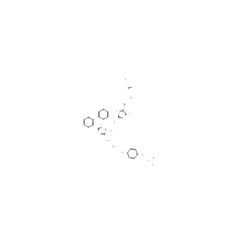 CCCCc1nc(Cl)c(C(=O)OC(C)OC(=O)OCC)n1Cc1ccc(-c2ccccc2-c2nnn(C(C)OC(=O)OCc3ccc(CON(O)O)cc3)n2)cc1